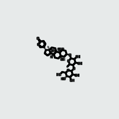 CC1O[C@@H](O[C@H]2CC[C@]3(C=O)C4CC[C@]5(C)[C@@H](c6ccc(=O)oc6)CC[C@]5(O)[C@@H]4CC[C@]3(O)C2)C(O)C(O)[C@H]1O[C@@H]1OC(CO)[C@@H](O)C(O)C1O